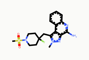 Cn1nc2c(N)nc3ccccc3c2c1CC1(F)CCN(S(C)(=O)=O)CC1